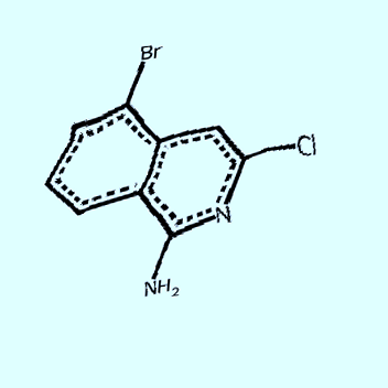 Nc1nc(Cl)cc2c(Br)cccc12